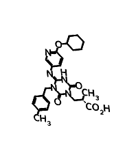 Cc1ccc(Cn2c(=O)n(C[C@H](C)C(=O)O)c(=O)[nH]/c2=N\c2ccc(OC3CCCCC3)nc2)cc1